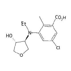 CCN(c1cc(Cl)cc(C(=O)O)c1C)[C@H]1COC[C@@H]1O